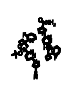 CC(C)(C)OC(=O)N(CC1(c2ncccc2F)CCC1)c1ccc(-n2ccc(C#N)c2)nn1.NC(=O)c1ccn(-c2ccc(NCC3(c4ncccc4F)CCC3)nn2)c1